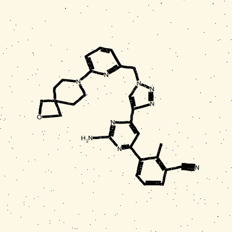 Cc1c(C#N)cccc1-c1cc(-c2cn(Cc3cccc(N4CCC5(CC4)COC5)n3)nn2)nc(N)n1